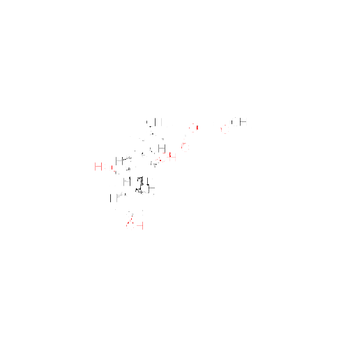 COCCOC(=O)CC[C@@H](C)[C@H]1CC[C@H]2[C@@H]3[C@H](O)C[C@@H]4C[C@H](O)CC[C@]4(C)[C@H]3C[C@H](O)[C@]12C